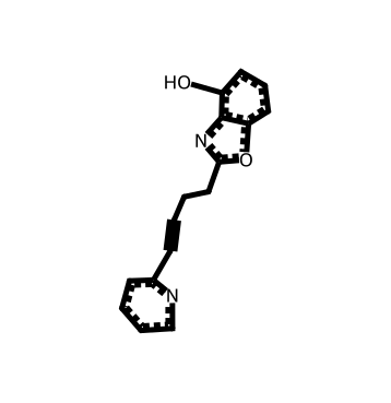 Oc1cccc2oc(CCC#Cc3ccccn3)nc12